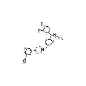 CCON=C(c1ccc(F)c(F)c1)c1ccc(CN2CCC(c3cncc(C#N)c3)CC2)cn1